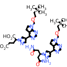 C[Si](C)(C)CCOCn1ccc2c(-c3cnn(C(CC(N)=O)CC(N)=O)c3)ncnc21.C[Si](C)(C)CCOCn1ccc2c(-c3cnn(C(CCC(=O)O)C(=O)O)c3)ncnc21